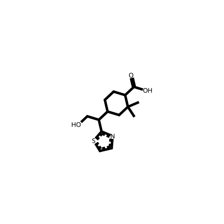 CC1(C)CC(C(CO)c2nccs2)CCC1C(=O)O